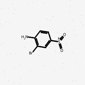 Nc1ccc([SH](=O)=O)cc1Br